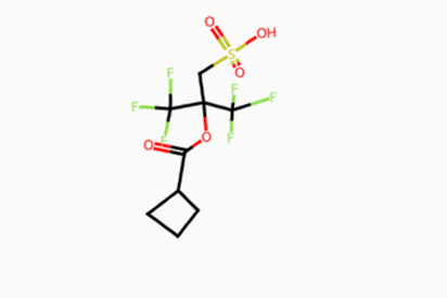 O=C(OC(CS(=O)(=O)O)(C(F)(F)F)C(F)(F)F)C1CCC1